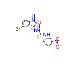 O=C1Nc2ccc(Br)cc2/C1=N/NC(=S)Nc1cccc([N+](=O)[O-])c1